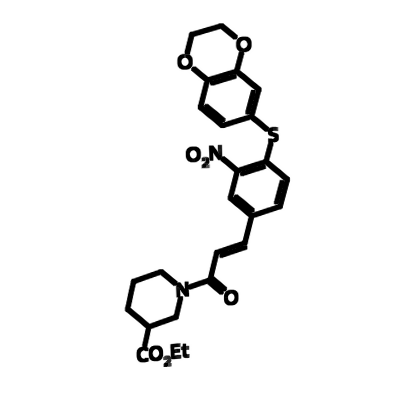 CCOC(=O)C1CCCN(C(=O)C=Cc2ccc(Sc3ccc4c(c3)OCCO4)c([N+](=O)[O-])c2)C1